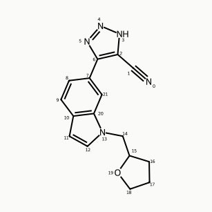 N#Cc1[nH]nnc1-c1ccc2ccn(CC3CCCO3)c2c1